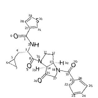 O=C(N[C@@H](CC1CC1)C(=O)N1CC[C@@H]2[C@H]1C(=O)CN2C(=O)c1ccccc1)c1ccsc1